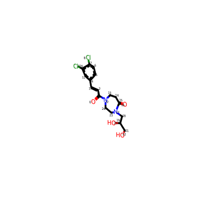 O=C(C=Cc1ccc(Cl)c(Cl)c1)N1CCC(=O)N(CC(O)CO)CC1